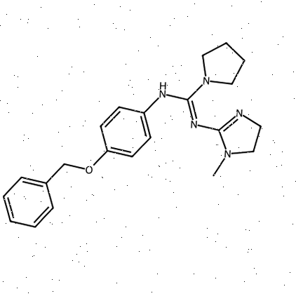 CN1CCN=C1N=C(Nc1ccc(OCc2ccccc2)cc1)N1CCCC1